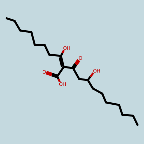 CCCCCCCC(O)=C(C(=O)O)C(=O)CC(O)CCCCCCC